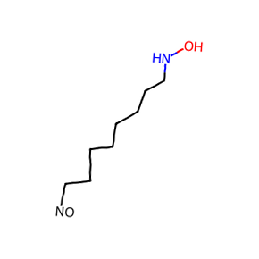 O=NCCCCCCCCNO